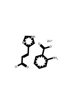 Nc1ccccc1C(=O)[O-].O=C([O-])C=Cc1c[nH]cn1.[Zn+2]